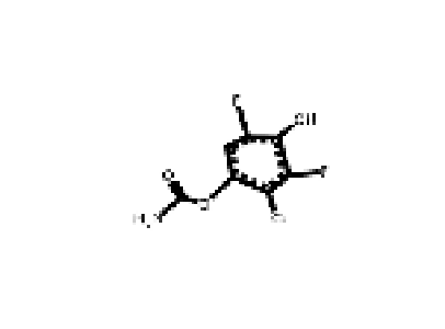 NC(=O)Oc1cc(F)c(O)c(F)c1Cl